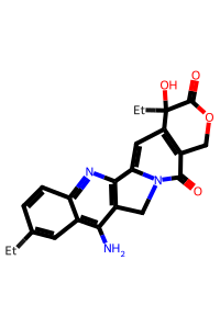 CCc1ccc2nc3c(c(N)c2c1)Cn1c-3cc2c(c1=O)COC(=O)C2(O)CC